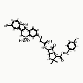 CC1(C)SC2C(NC(=N)COc3ccc4c(c3)S(=N)(=O)Cc3c-4[nH]c4ccc(F)cc34)C(=O)N2C1C(=O)OCc1ccc(I)cc1